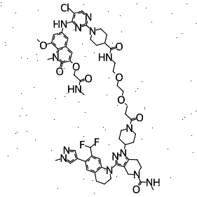 CNC(=O)COc1cc2cc(Nc3nc(N4CCC(C(=O)NCCOCCOCCC(=O)N5CCC(n6nc(N7CCCc8cc(-c9cnn(C)c9)c(C(F)F)cc87)c7c6CCN(C(=O)NC)C7)CC5)CC4)ncc3Cl)cc(OC)c2n(C)c1=O